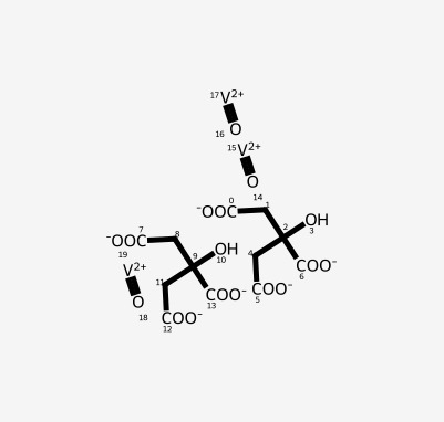 O=C([O-])CC(O)(CC(=O)[O-])C(=O)[O-].O=C([O-])CC(O)(CC(=O)[O-])C(=O)[O-].[O]=[V+2].[O]=[V+2].[O]=[V+2]